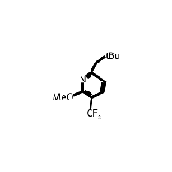 COc1nc(CC(C)(C)C)ccc1C(F)(F)F